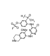 COc1cc2c(cc1Nc1ncc(Cl)c(Nc3ccc(OS(=O)(=O)F)cc3P(C)(C)=O)n1)CNCC2